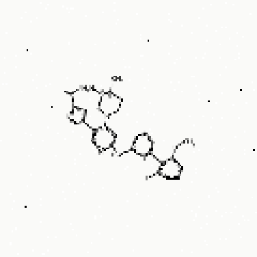 COc1cccc(F)c1-c1nccc(Nc2cc(N3CC[C@@H](C)[C@H](N)C3)c(-c3cnn(C(F)F)c3)cn2)n1